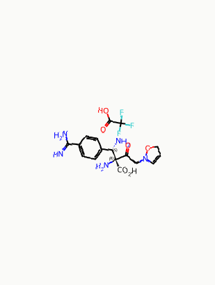 N=C(N)c1ccc([C@H](N)[C@](N)(C(=O)O)C(=O)CN2C=CCO2)cc1.O=C(O)C(F)(F)F